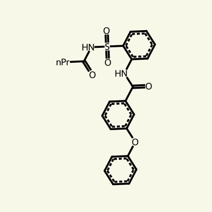 CCCC(=O)NS(=O)(=O)c1ccccc1NC(=O)c1cccc(Oc2ccccc2)c1